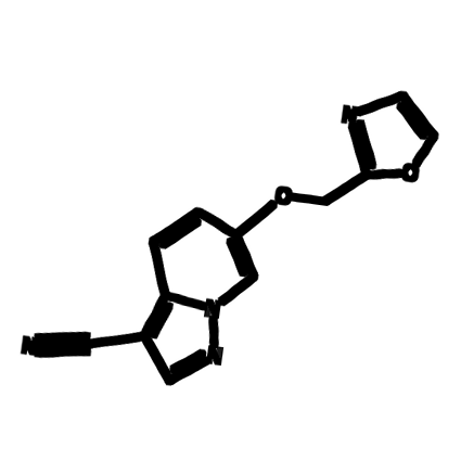 N#Cc1cnn2cc(OCc3ncco3)ccc12